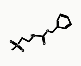 [CH2]S(=O)(=O)CCNC(=O)OCc1ccccc1